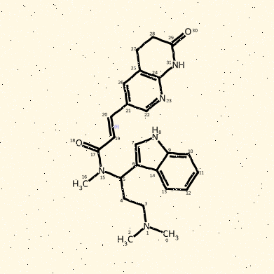 CN(C)CCC(c1c[nH]c2ccccc12)N(C)C(=O)/C=C/c1cnc2c(c1)CCC(=O)N2